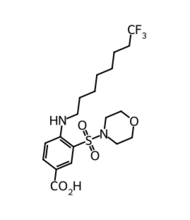 O=C(O)c1ccc(NCCCCCCCC(F)(F)F)c(S(=O)(=O)N2CCOCC2)c1